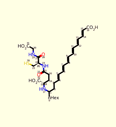 CCCCCCC(CCC=CC=CC=CC=CC=CC=CC(=O)O)N[C@@H](CCC(=O)N[C@@H](CS)C(=O)NCC(=O)O)C(=O)O